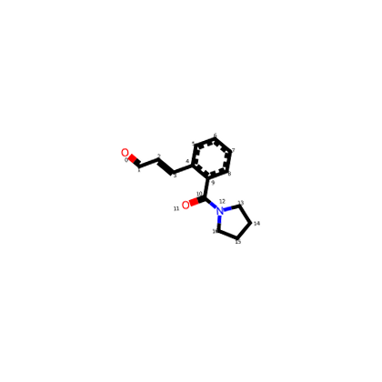 O=[C]/C=C/c1ccccc1C(=O)N1CCCC1